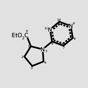 CCOC(=O)C1CCCN1c1ccn[c]n1